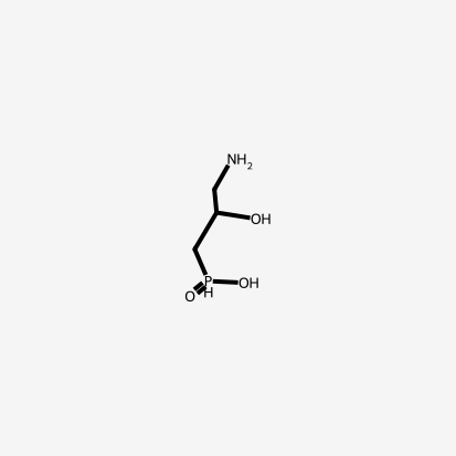 NCC(O)C[PH](=O)O